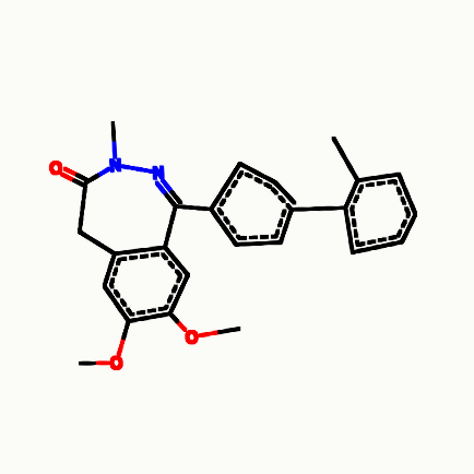 COc1cc2c(cc1OC)C(c1ccc(-c3ccccc3C)cc1)=NN(C)C(=O)C2